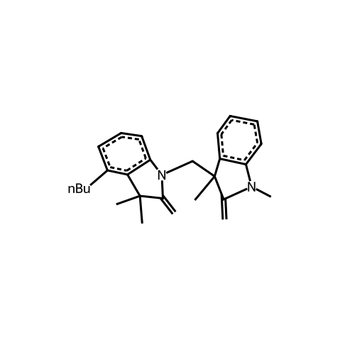 C=C1N(CC2(C)C(=C)N(C)c3ccccc32)c2cccc(CCCC)c2C1(C)C